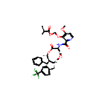 COc1ccnc(C(=O)N[C@H]2COC[C@H](Cc3ccc(C(F)(F)F)cc3)[C@@H](Cc3ccccc3)[C@H](C)OC2=O)c1OCOC(=O)C(C)C